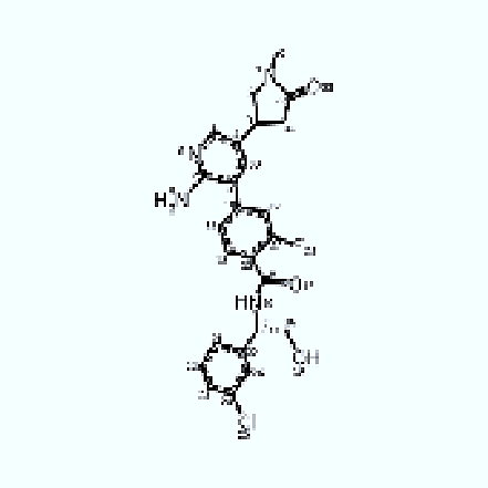 CN1CC(c2cnc(N)c(-c3ccc(C(=O)N[C@H](CO)c4cccc(Cl)c4)c(F)c3)c2)CC1=O